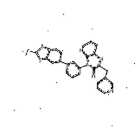 Cc1nc2ccc(-c3cccc(-n4c(=O)c(Cc5cccnc5)nc5cccnc54)c3)cc2s1